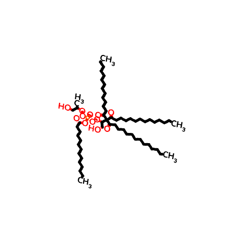 CCCCCCCCCCCCCC(=O)OP(=O)(OOC(C)CO)OOC(CO)C(C(=O)CCCCCCCCCCCCC)(C(=O)CCCCCCCCCCCCC)C(=O)CCCCCCCCCCCCC